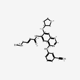 C#Cc1cccc(Nc2ncnc3cc(OC4CCOC4)c(NC(=O)C=CCNCC)cc23)c1